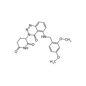 COc1ccc(CNc2cccc3nnn(C4CCC(=O)NC4=O)c(=O)c23)c(OC)c1